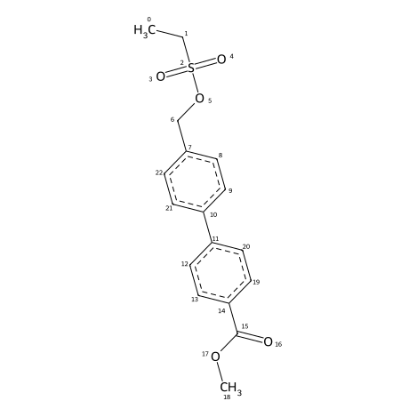 CCS(=O)(=O)OCc1ccc(-c2ccc(C(=O)OC)cc2)cc1